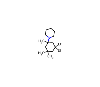 CCC1(CC)CC(C)(C)CC(C)(N2CCCCC2)C1